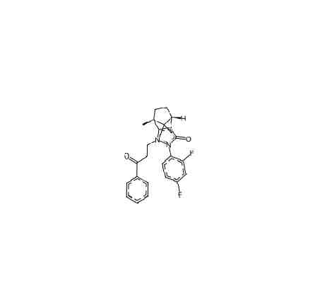 CC1(C)[C@@H]2CC[C@@]1(C)c1c2c(=O)n(-c2ccc(F)cc2F)n1CCC(=O)c1ccccc1